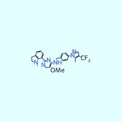 COc1cnc(-c2cccc3c2N(C)CC3)nc1NCc1ccc(-n2ncc(C(F)(F)F)c2C)cc1